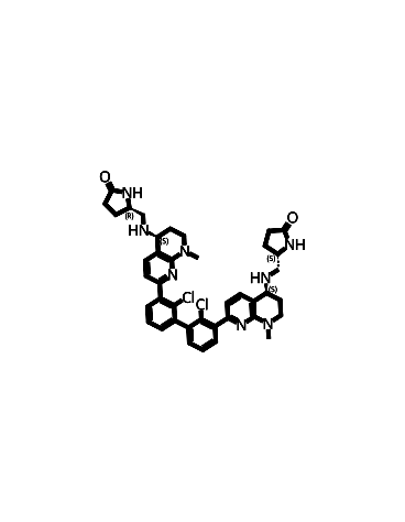 CN1CC[C@H](NC[C@H]2CCC(=O)N2)c2ccc(-c3cccc(-c4cccc(-c5ccc6c(n5)N(C)CC[C@@H]6NC[C@@H]5CCC(=O)N5)c4Cl)c3Cl)nc21